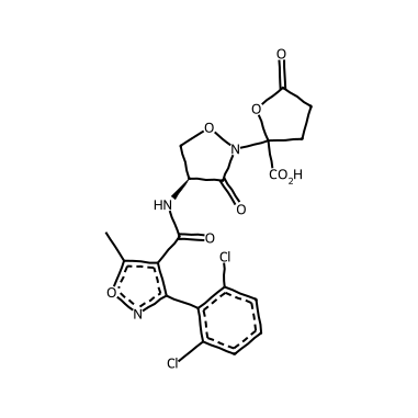 Cc1onc(-c2c(Cl)cccc2Cl)c1C(=O)N[C@H]1CON(C2(C(=O)O)CCC(=O)O2)C1=O